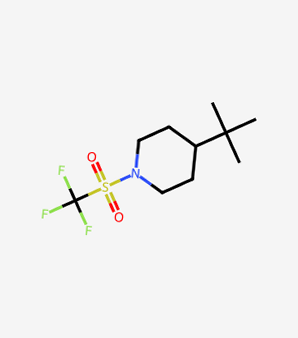 CC(C)(C)C1CCN(S(=O)(=O)C(F)(F)F)CC1